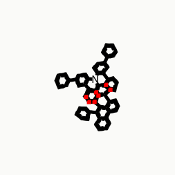 c1ccc(-c2ccc(N(c3ccc(-c4cccc5c4c(-c4ccccc4)c(-c4ccccc4)c4ccccc45)cc3)c3ccc(-c4ccccc4)cc3-c3ccccc3)c(-c3ccccc3)c2)cc1